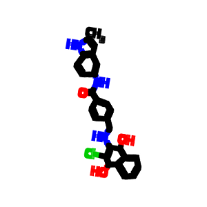 Cc1cc2cc(NC(=O)c3ccc(CNC4=C(Cl)C(O)c5ccccc5C4O)cc3)ccc2[nH]1